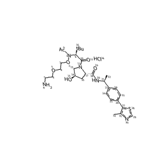 CC(=O)N(OCCOCCN)[C@H](C(=O)N1C[C@H](O)C[C@H]1C(=O)N[C@@H](C)c1ccc(-c2scnc2C)cc1)C(C)(C)C.Cl